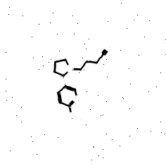 Cc1ccc([C@@H]2CCCN2CCCC#N)cn1